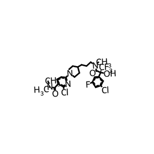 CN(C)C(=O)c1ccc(N2CCC(CCCN(C)C(=O)[C@](O)(c3cc(F)cc(Cl)c3)C(F)(F)F)CC2)nc1Cl